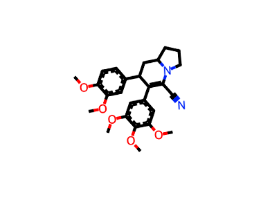 COc1ccc(C2CC3CCCN3C(C#N)=C2c2cc(OC)c(OC)c(OC)c2)cc1OC